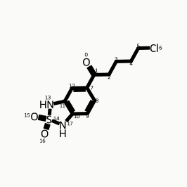 O=C(CCCCCl)c1ccc2c(c1)NS(=O)(=O)N2